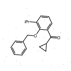 CC(C)c1cccc(C(=O)C2CC2)c1OCc1ccccc1